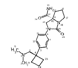 CN(C)CC1(c2ccc(N3C[C@@]4(C(N)=O)[CH]CCN4C3=O)cc2)CCC1